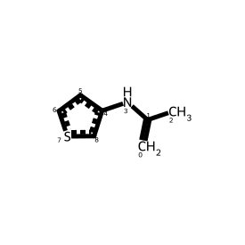 C=C(C)Nc1ccsc1